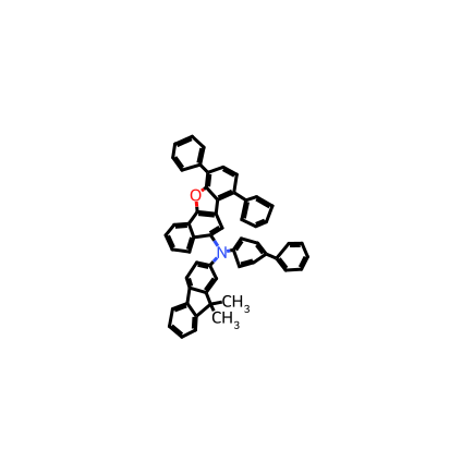 CC1(C)c2ccccc2-c2ccc(N(c3ccc(-c4ccccc4)cc3)c3cc4c(oc5c(-c6ccccc6)ccc(-c6ccccc6)c54)c4ccccc34)cc21